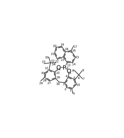 Cc1cc2c(c(C(C)(C)C)c1)OP(c1ccc(C)c3ccccc13)Oc1c(cc(C)cc1C(C)(C)C)C2